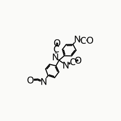 O=C=Nc1ccc(C(N=C=O)(N=C=O)c2ccc(N=C=O)cc2)cc1